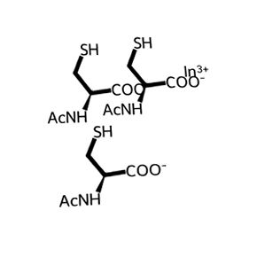 CC(=O)N[C@@H](CS)C(=O)[O-].CC(=O)N[C@@H](CS)C(=O)[O-].CC(=O)N[C@@H](CS)C(=O)[O-].[In+3]